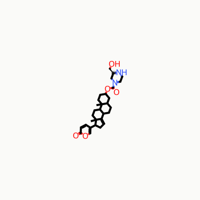 CC12CCC3C(CCC4CC(OC(=O)N5CCN[C@H](CO)C5)CCC43C)C1=CCC2c1ccc(=O)oc1